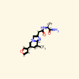 CC(C)[C@H](NC(=O)Cc1cn2cc(-c3ccoc3)cc(C(F)(F)F)c2n1)C(N)=O